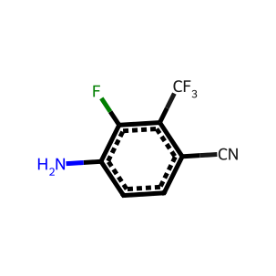 N#Cc1ccc(N)c(F)c1C(F)(F)F